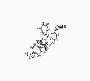 COc1ccc2c(c1)C(c1ccccc1)CN(S(=O)(=O)c1ccc(C)cc1)CC2